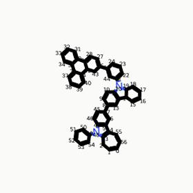 C1=CCc2c(c3cc(-c4ccc5c(c4)C4C=CC=CC4N5c4cccc(C5=CC=C6c7ccccc7-c7ccccc7C6C5)c4)ccc3n2-c2ccccc2)C=C1